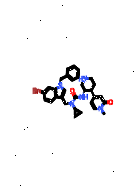 Cn1ccc([C@@H]2CCNC[C@H]2NC(=O)N(Cc2cn(Cc3ccccc3)c3cc(Br)ccc23)C2CC2)cc1=O